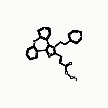 COC(=O)C=Cc1nc2c(n1CCc1ccccc1)-c1ccccc1Sc1ccccc1-2